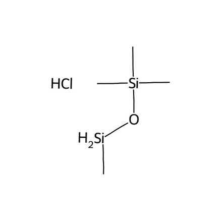 C[SiH2]O[Si](C)(C)C.Cl